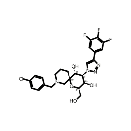 OC[C@H]1O[C@@]2(CCCN(Cc3ccc(Cl)cc3)C2)[C@H](O)[C@@H](n2cc(-c3cc(F)c(F)c(F)c3)nn2)[C@H]1O